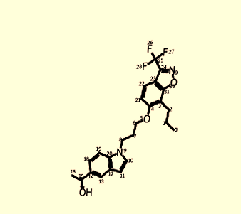 CCCc1c(OCCCn2ccc3cc(C(C)O)ccc32)ccc2c(C(F)(F)F)noc12